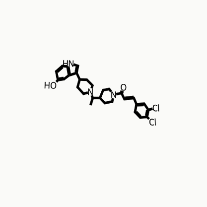 CC(C1CCN(C(=O)C=Cc2ccc(Cl)c(Cl)c2)CC1)N1CCC(c2c[nH]c3ccc(O)cc23)CC1